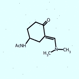 CC(=O)NC1CCC(=O)/C(=C/N(C)C)C1